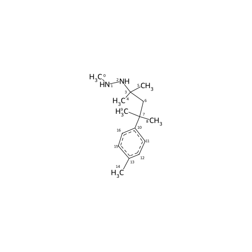 CNNC(C)(C)CC(C)(C)c1ccc(C)cc1